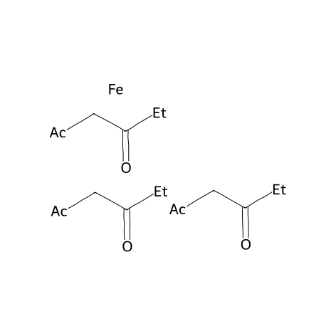 CCC(=O)CC(C)=O.CCC(=O)CC(C)=O.CCC(=O)CC(C)=O.[Fe]